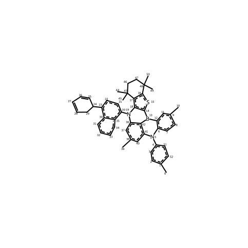 Cc1ccc(N2c3ccc(C)cc3B3c4sc5c(c4N(c4ccc(C6C=CC=CC6)c6ccccc46)c4cc(C)cc2c43)C(C)(C)CCC5(C)C)cc1